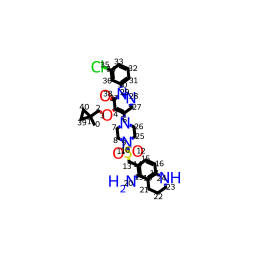 CC1(COc2c(N3CCN(S(=O)(=O)Cc4ccc5c(c4N)CCCN5)CC3)cnn(-c3cccc(Cl)c3)c2=O)CC1